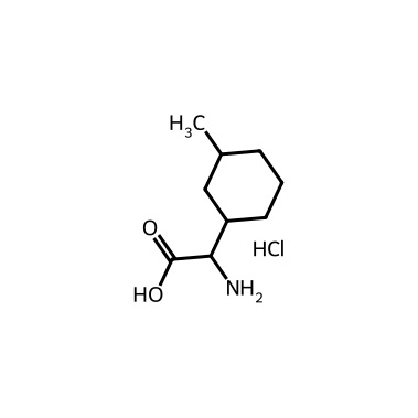 CC1CCCC(C(N)C(=O)O)C1.Cl